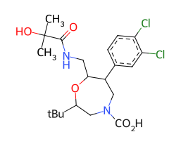 CC(C)(O)C(=O)NCC1OC(C(C)(C)C)CN(C(=O)O)CC1c1ccc(Cl)c(Cl)c1